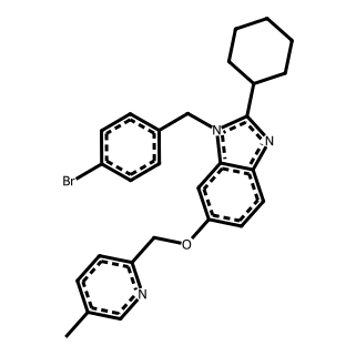 Cc1ccc(COc2ccc3nc(C4CCCCC4)n(Cc4ccc(Br)cc4)c3c2)nc1